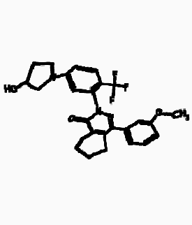 COc1cccc(-c2nn(-c3cc(N4CCC(O)C4)ccc3C(F)(F)F)c(=O)c3c2CCC3)c1